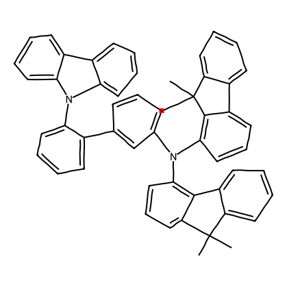 CC1(C)c2ccccc2-c2c(N(c3cccc(-c4ccccc4-n4c5ccccc5c5ccccc54)c3)c3cccc4c3C(C)(C)c3ccccc3-4)cccc21